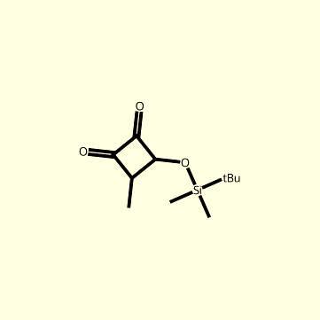 CC1C(=O)C(=O)C1O[Si](C)(C)C(C)(C)C